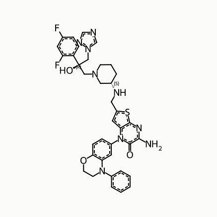 Nc1nc2sc(CN[C@H]3CCCN(C[C@@](O)(Cn4cncn4)c4ccc(F)cc4F)C3)cc2n(-c2ccc3c(c2)N(c2ccccc2)CCO3)c1=O